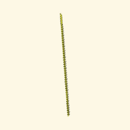 S=S=S=S=S=S=S=S=S=S=S=S=S=S=S=S=S=S=S=S=S=S=S=S=S=S=S=S=S=S=S=S=S=S=S=S=S=S=S=S=S=S=S=S=S=S=S=S=S=S=S=S=S=S=S=S=S=S=S=S=S=S=S=S=S=S=S=S=S=S=S=S=S=S=S=S=S=S=S=S=S=S=S=S=S=S=S=S=S=S=S=S=S